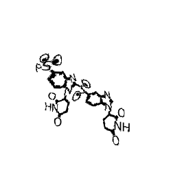 O=C1CCC(n2cnc3cc(S(=O)(=O)c4nc5cc(S(=O)(=O)F)ccc5n4C4CCC(=O)NC4=O)ccc32)C(=O)N1